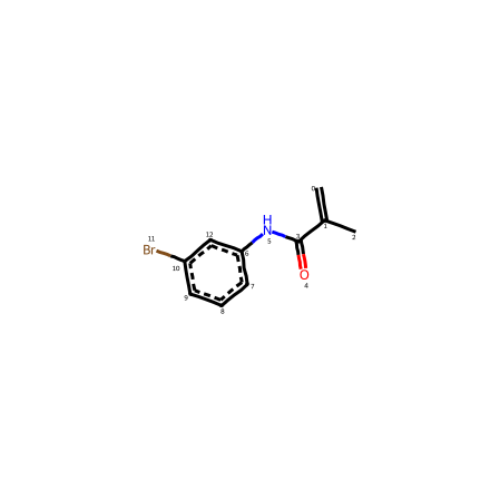 C=C(C)C(=O)Nc1cccc(Br)c1